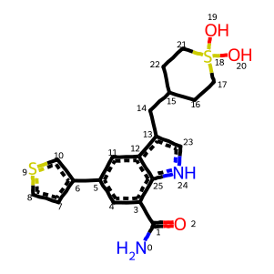 NC(=O)c1cc(-c2ccsc2)cc2c(CC3CCS(O)(O)CC3)c[nH]c12